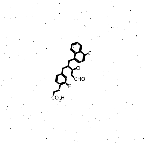 O=CCC(Cl)C(Cc1ccc(CCC(=O)O)c(F)c1)Cc1ccc(Cl)c2ccccc12